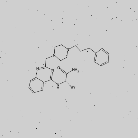 CC(C)[C@H](Nc1nc(CN2CCN(CCCc3ccccc3)CC2)nc2ccccc12)C(N)=O